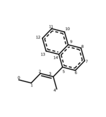 CCC=C(C)c1cccc2ccccc12